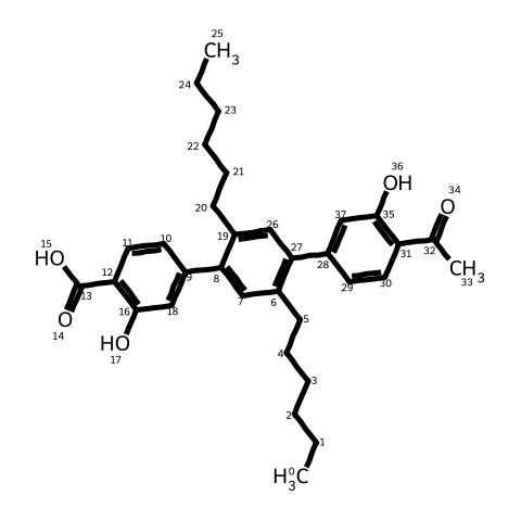 CCCCCCc1cc(-c2ccc(C(=O)O)c(O)c2)c(CCCCCC)cc1-c1ccc(C(C)=O)c(O)c1